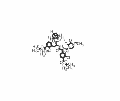 CCN1CCN(C(=O)NC(C(=O)NC(Cc2cccc(C(=O)OC(C)(C)C)c2OC)B2O[C@@H]3C[C@@H]4C[C@@H](C4(C)C)[C@]3(C)O2)c2ccc(C(=O)OC(C)(C)C)c(Cl)c2Cl)C(=O)C1=O